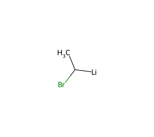 [Li][CH](C)Br